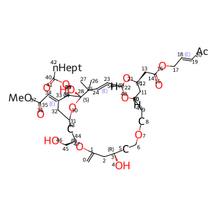 C=C1C[C@H](O)CCOCC[C@@H]2C[C@H](CC(=O)OC/C=C/C(C)=O)O[C@H](/C=C/C(C)(C)[C@]3(O)OC(C/C(=C\C(=O)OC)[C@@H]3OC(=O)CCCCCCC)C[C@H](CO)O1)O2